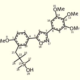 COc1ccc(-c2cc(-c3cc(OC)c(OC)c(OC)c3)no2)cc1CC(C)(C)[Si](C)(C)O